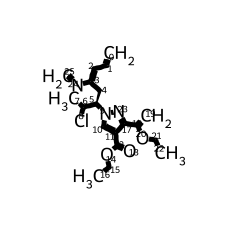 C=C/C=C(\C[C@H](C(C)Cl)n1cc(C(=O)OCC)c(C(=C)OCC)n1)N=C